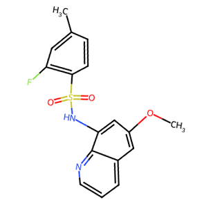 COc1cc(NS(=O)(=O)c2ccc(C)cc2F)c2ncccc2c1